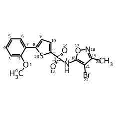 COc1ccccc1-c1ccc(S(=O)(=O)Nc2onc(C)c2Br)s1